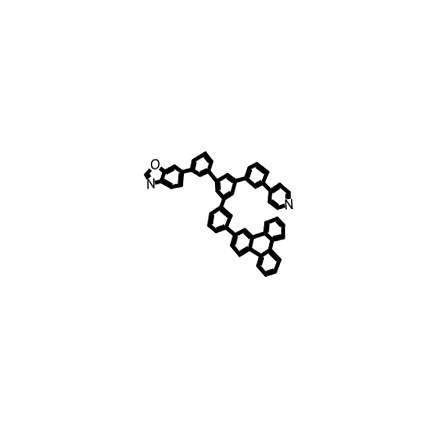 c1cc(-c2ccncc2)cc(-c2cc(-c3cccc(-c4ccc5ncoc5c4)c3)cc(-c3cccc(-c4ccc5c6ccccc6c6ccccc6c5c4)c3)c2)c1